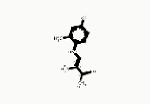 Cc1cc(Cl)ccc1N/C=C(\N)C(C)F